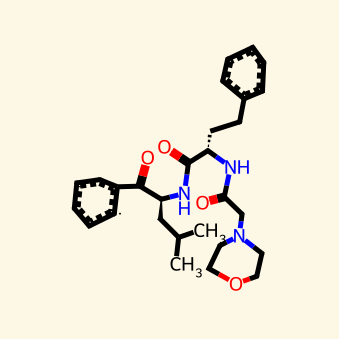 CC(C)C[C@H](NC(=O)[C@H](CCc1ccccc1)NC(=O)CN1CCOCC1)C(=O)c1[c]cccc1